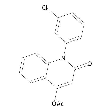 CC(=O)Oc1cc(=O)n(-c2cccc(Cl)c2)c2ccccc12